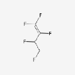 FCC(F)C(F)=C(F)F